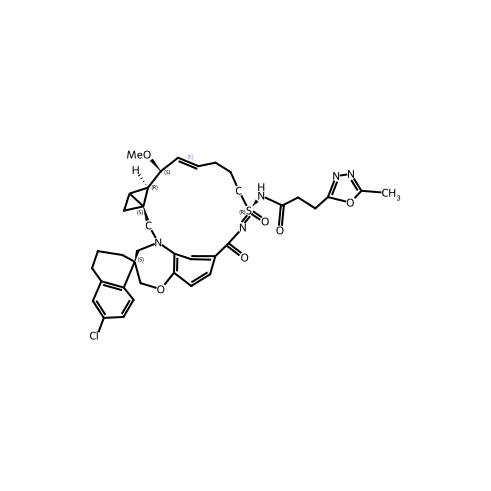 CO[C@H]1/C=C/CCC[S@@](=O)(NC(=O)CCc2nnc(C)o2)=NC(=O)c2ccc3c(c2)N(C[C@@]2(CCCc4cc(Cl)ccc42)CO3)C[C@@]23CC2[C@@H]13